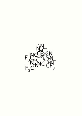 Cc1nc(C(F)(F)F)c(C(C#N)=C2C(=C(\C#N)c3c(C)nc(C)nc3C(F)(F)F)/C2=C(\C#N)c2c(C)nc(C(F)(F)F)nc2C(F)(F)F)c(C(F)(F)F)n1